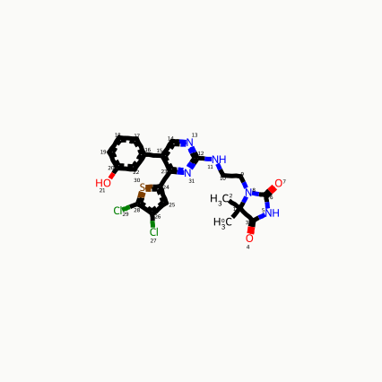 CC1(C)C(=O)NC(=O)N1CCNc1ncc(-c2cccc(O)c2)c(-c2cc(Cl)c(Cl)s2)n1